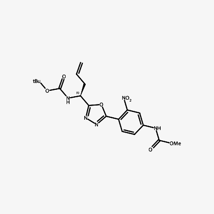 C=CC[C@H](NC(=O)OC(C)(C)C)c1nnc(-c2ccc(NC(=O)OC)cc2[N+](=O)[O-])o1